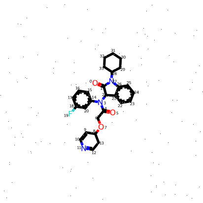 O=C1C(N(C(=O)COC2C=CN=CC2)c2cccc(F)c2)c2ccccc2N1C1CCCCC1